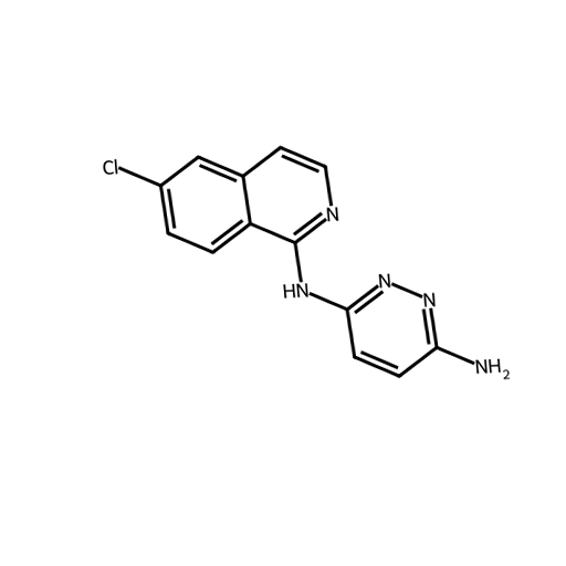 Nc1ccc(Nc2nccc3cc(Cl)ccc23)nn1